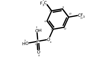 O=P(O)(O)Oc1cc(C(F)(F)F)cc(C(F)(F)F)c1